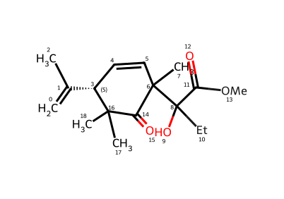 C=C(C)[C@@H]1C=CC(C)(C(O)(CC)C(=O)OC)C(=O)C1(C)C